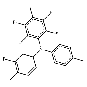 CC1=C(F)CC(N(c2ccc(C)cc2)c2c(F)c(F)c(C)c(F)c2F)C=C1